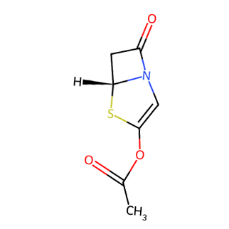 CC(=O)OC1=CN2C(=O)C[C@H]2S1